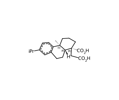 CC(C)c1ccc2c(c1)CC[C@H]1[C@@](CC(=O)O)(C(=O)O)CCC[C@]21C